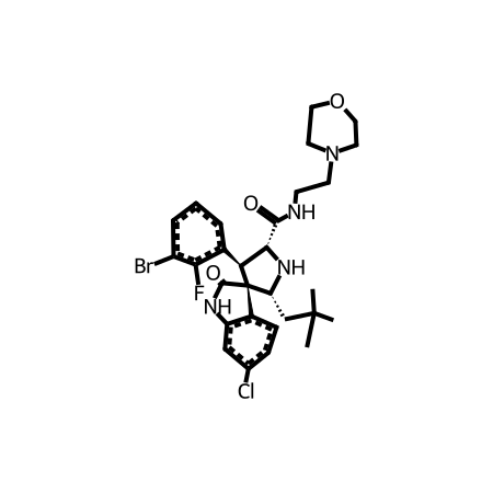 CC(C)(C)C[C@H]1N[C@@H](C(=O)NCCN2CCOCC2)[C@H](c2cccc(Br)c2F)[C@@]12C(=O)Nc1cc(Cl)ccc12